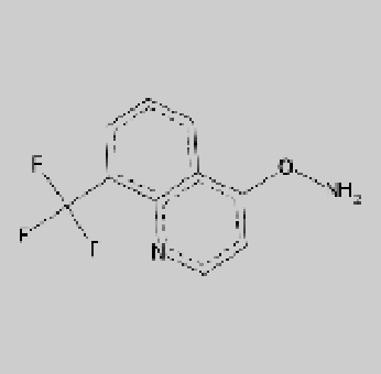 NOc1ccnc2c(C(F)(F)F)cccc12